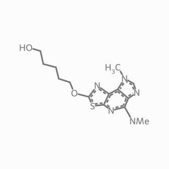 CNc1nc2sc(OCCCCCO)nc2c2c1ncn2C